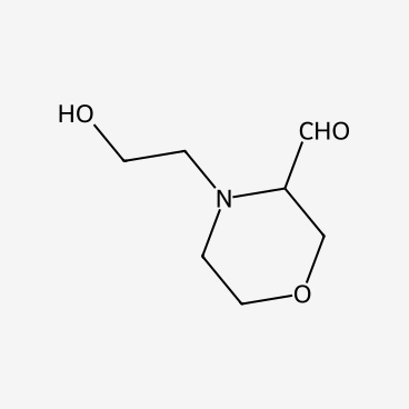 O=CC1COCCN1CCO